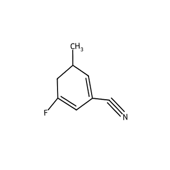 CC1C=C(C#N)C=C(F)C1